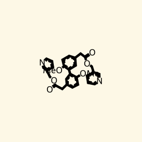 COc1ccc(CC(=O)OCc2cccnc2)cc1-c1cc(CC(=O)OCc2cccnc2)ccc1OC